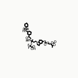 Cc1oc(=O)oc1COC(=O)Oc1ccc2c(ccn2CCC(C)(C)NC[C@H](O)c2cccc(NS(=O)(=O)c3ccccc3)c2)c1.O=C(O)C(F)(F)F